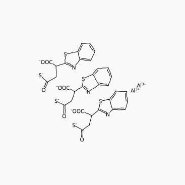 O=C([S-])CC(C(=O)[O-])c1nc2ccccc2s1.O=C([S-])CC(C(=O)[O-])c1nc2ccccc2s1.O=C([S-])CC(C(=O)[O-])c1nc2ccccc2s1.[Al+3].[Al+3]